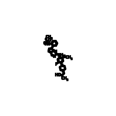 CCS(=O)(=O)Nc1ccccc1-c1ccc2cnc(Nc3cc(F)c(N4CCN(CC(C)O)CC4)cc3SC)nn12